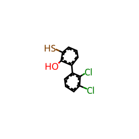 Oc1c(S)cccc1-c1cccc(Cl)c1Cl